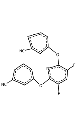 N#Cc1cccc(Oc2nc(Oc3cccc(C#N)c3)c(F)cc2F)c1